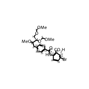 COCOC[C@@H](OCOC)C(Cc1cnc(C(=O)Nc2ccc(Br)cc2C(=O)O)cn1)OC